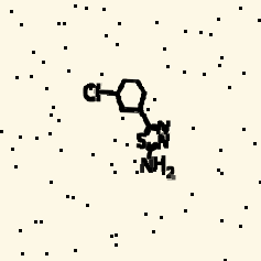 Nc1nnc(C2CCCC(Cl)C2)s1